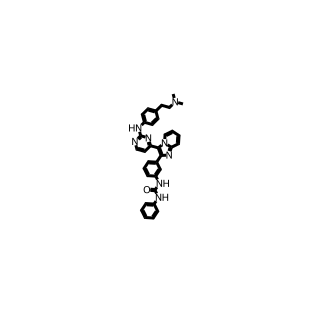 CN(C)CCc1ccc(Nc2nccc(-c3c(-c4cccc(NC(=O)Nc5ccccc5)c4)nc4ccccn34)n2)cc1